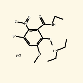 CCNC(=O)c1c(OC)c(OC)cc(Br)c1[N+](=O)[O-].CCNCC.Cl